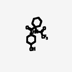 O=C(NC1(C(=O)N2CCC(O)CC2)CCCCC1)C(F)(F)F